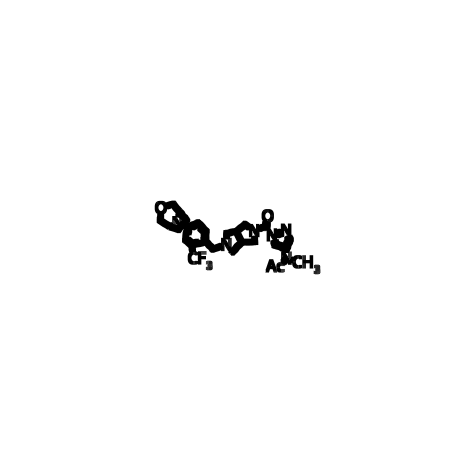 CC(=O)N(C)c1cnn(C(=O)N2CC3CN(Cc4ccc(N5C6CCC5COC6)cc4C(F)(F)F)CC3C2)c1